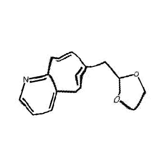 c1cnc2ccc(CC3OCCO3)cc2c1